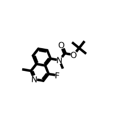 Cc1ncc(F)c2c(N(C)C(=O)OC(C)(C)C)cccc12